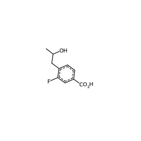 CC(O)Cc1ccc(C(=O)O)cc1F